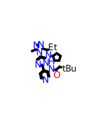 CCC1c2nnc(C)n2-c2cnc(-c3ccncc3NC(=O)CC(C)(C)C)nc2N1C1CCCC1